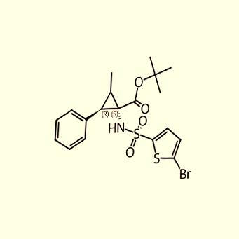 CC1[C@H](c2ccccc2)[C@]1(NS(=O)(=O)c1ccc(Br)s1)C(=O)OC(C)(C)C